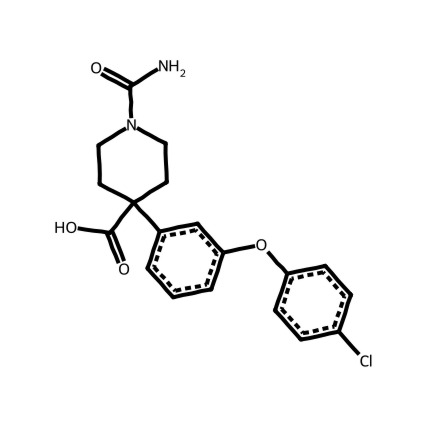 NC(=O)N1CCC(C(=O)O)(c2cccc(Oc3ccc(Cl)cc3)c2)CC1